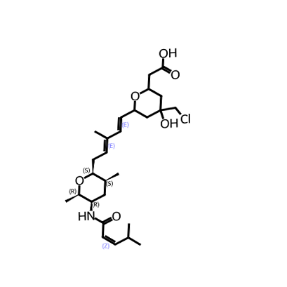 CC(/C=C/C1CC(O)(CCl)CC(CC(=O)O)O1)=C\C[C@@H]1O[C@H](C)[C@H](NC(=O)/C=C\C(C)C)C[C@@H]1C